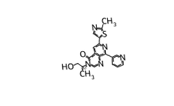 Cc1ncc(-c2cc3c(=O)n([C@@H](C)CO)cnc3c(-c3cccnc3)n2)s1